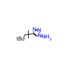 CC(C)(C)CC(C)(C)c1cn(N)nn1